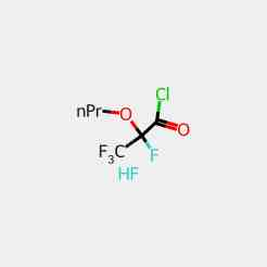 CCCOC(F)(C(=O)Cl)C(F)(F)F.F